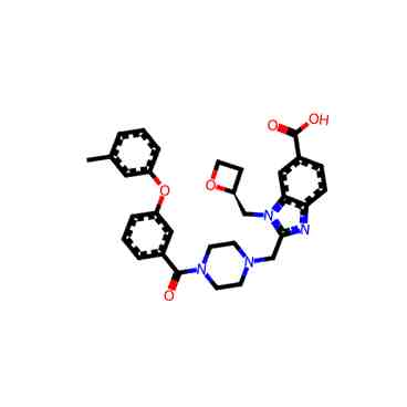 Cc1cccc(Oc2cccc(C(=O)N3CCN(Cc4nc5ccc(C(=O)O)cc5n4C[C@@H]4CCO4)CC3)c2)c1